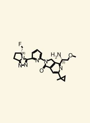 COC[C@@H](N)c1nc(C2(C)CC2)cc2c1CN(c1cccc(-c3nnc4n3[C@@H](CF)CC4)n1)C2=O